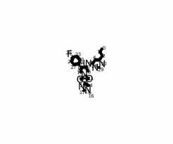 CCCc1cc(N[C@H]2CN(S(=O)(=O)c3cn(C)cn3)C[C@@H]2c2ccc(F)cc2)ncn1